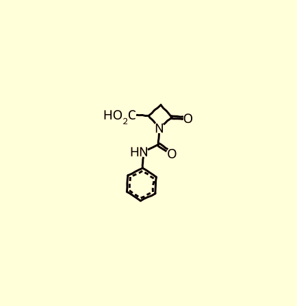 O=C(O)C1CC(=O)N1C(=O)Nc1ccccc1